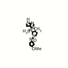 COc1ccc2nc(N3CCC(C)C(N(C)c4ncnc5[nH]ccc45)C3)oc2c1